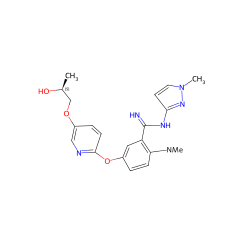 CNc1ccc(Oc2ccc(OC[C@H](C)O)cn2)cc1C(=N)Nc1ccn(C)n1